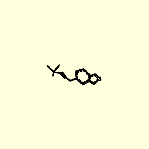 CC(C)(C)C#CCc1ccc2cscc2c1